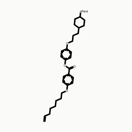 C=CCCCCCCOc1ccc(C(=O)Oc2ccc(OCCCC3CCC(CCCCC)CC3)cc2)cc1